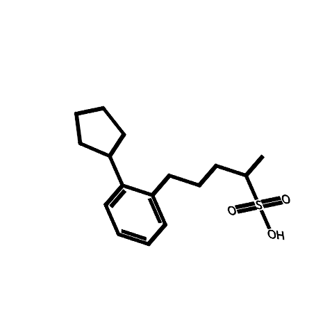 CC(CCCc1ccccc1C1CCCC1)S(=O)(=O)O